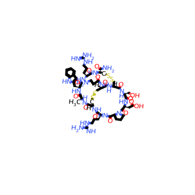 C[C@@H]1NC(=O)[C@@H]2CSSC[C@H](NC(=O)CCN)C(=O)N[C@@H](CSSC[C@@H](C(N)=O)NC(=O)[C@H](CCCNC(=N)N)NC(=O)[C@H](Cc3cc4ccccc4[nH]3)NC1=O)C(=O)N[C@@H](CO)C(=O)N[C@@H](CC(=O)O)C(=O)N1CCCC1C(=O)N[C@@H](CCCNC(=N)N)C(=O)N2